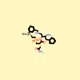 COc1cccc(CNCC(OC(=O)[C@H](CC(N)=O)CS(=O)(=O)CCC(C)C)C(N)Cc2ccccc2)c1